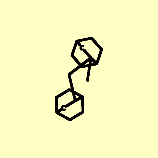 CC1(CC2CC3CCC2CC3)CC2CCC1CC2